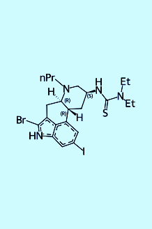 CCCN1C[C@@H](NC(=S)N(CC)CC)C[C@@H]2c3cc(I)cc4[nH]c(Br)c(c34)C[C@H]21